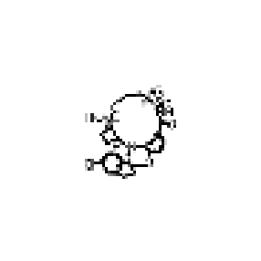 CC[C@@H]1CCCC[C@H](O)[C@@H]2CC[C@H]2CN2C[C@@]3(CCc4cc(Cl)ccc43)COc3ccc(cc32)C(=O)NS1(=O)=O